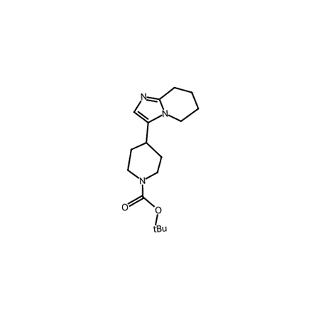 CC(C)(C)OC(=O)N1CCC(c2cnc3n2CCCC3)CC1